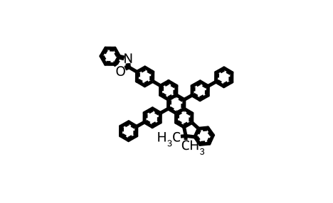 CC1(C)c2ccccc2-c2cc3c(-c4ccc(-c5ccccc5)cc4)c4ccc(-c5ccc(-c6nc7ccccc7o6)cc5)cc4c(-c4ccc(-c5ccccc5)cc4)c3cc21